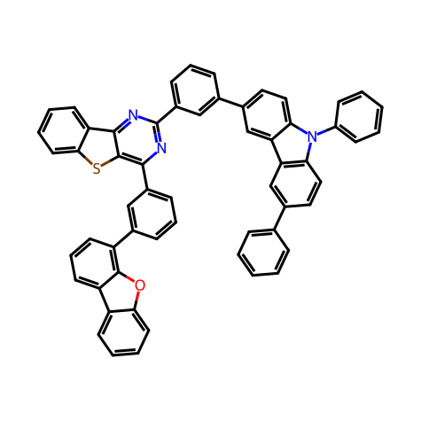 c1ccc(-c2ccc3c(c2)c2cc(-c4cccc(-c5nc(-c6cccc(-c7cccc8c7oc7ccccc78)c6)c6sc7ccccc7c6n5)c4)ccc2n3-c2ccccc2)cc1